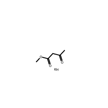 COC(=O)CC(C)=O.[KH]